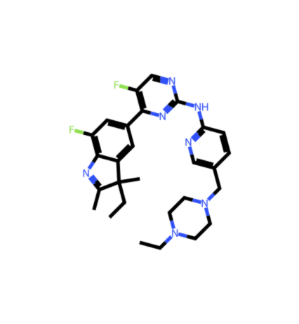 CCN1CCN(Cc2ccc(Nc3ncc(F)c(-c4cc(F)c5c(c4)C(C)(CC)C(C)=N5)n3)nc2)CC1